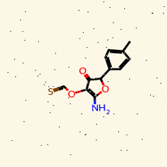 Cc1ccc(C2OC(N)=C(OC=S)C2=O)cc1